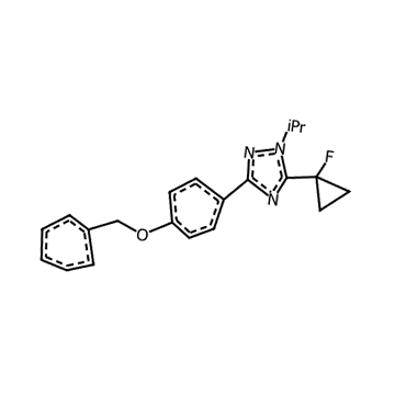 CC(C)n1nc(-c2ccc(OCc3ccccc3)cc2)nc1C1(F)CC1